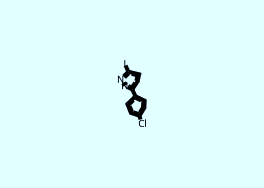 Clc1ccc(-c2ccc(I)nn2)cc1